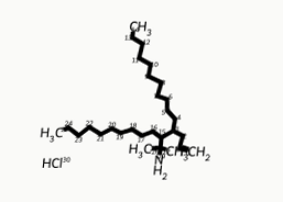 C=CCC(CCCCCCCCCCC)C(CCCCCCCCCC)C(C)(C)N.Cl